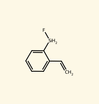 C=Cc1ccccc1[SiH2]F